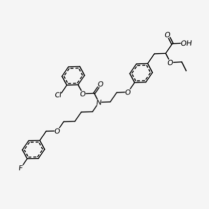 CCOC(Cc1ccc(OCCN(CCCCOCc2ccc(F)cc2)C(=O)Oc2ccccc2Cl)cc1)C(=O)O